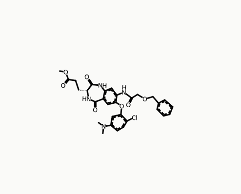 COC(=O)CC[C@H]1NC(=O)c2cc(Oc3cc(N(C)C)ccc3Cl)c(NC(=O)COCc3ccccc3)cc2NC1=O